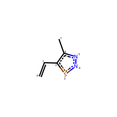 C=Cc1snnc1C